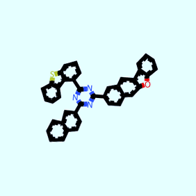 c1ccc2cc(-c3nc(-c4ccc5cc6oc7ccccc7c6cc5c4)nc(-c4cccc5sc6ccccc6c45)n3)ccc2c1